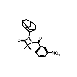 CC1(C)C(=O)N(C2C3CC4CC(C3)CC2C4)N1C(=O)c1cccc([N+](=O)[O-])c1